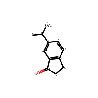 CC(=O)OC(C)c1ccc2c(c1)C(=O)CC2